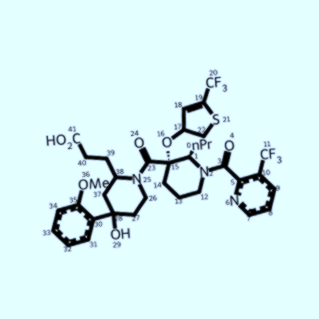 CCC[C@H]1N(C(=O)c2ncccc2C(F)(F)F)CCC[C@@]1(OC1C=C(C(F)(F)F)SC1)C(=O)N1CCC(O)(c2ccccc2OC)CC1CCC(=O)O